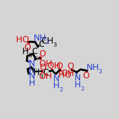 CC(O)C(N)C(=O)O.CCC(C)C(N)C(=O)O.NC(=O)CC(N)C(=O)O.O=C(O)[C@@H]1CCCN1.O=C(O)[C@@H]1CCCN1